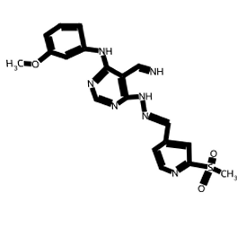 COc1cccc(Nc2ncnc(N/N=C/c3ccnc(S(C)(=O)=O)c3)c2C=N)c1